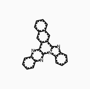 c1ccc2cc3c(cc2c1)c1nc2ccccc2nc1n1c2ccccc2nc31